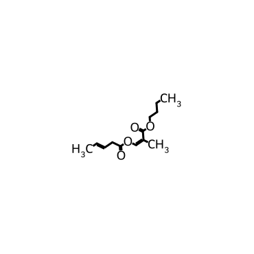 CC=CCC(=O)OC=C(C)C(=O)OCCCC